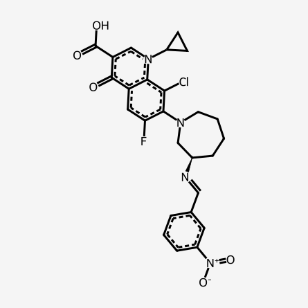 O=C(O)c1cn(C2CC2)c2c(Cl)c(N3CCCC[C@@H](/N=C/c4cccc([N+](=O)[O-])c4)C3)c(F)cc2c1=O